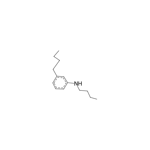 CCCCNc1cccc(CCCC)c1